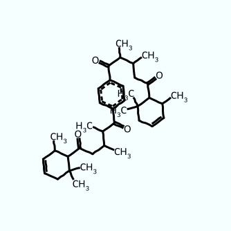 CC1C=CCC(C)(C)C1C(=O)CC(C)C(C)C(=O)c1ccc(C(=O)C(C)C(C)CC(=O)C2C(C)C=CCC2(C)C)cc1